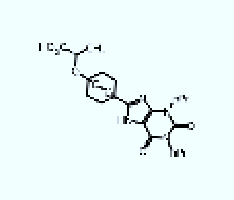 CCCn1c(=O)c2[nH]c(C34CCC(O[C@H](C)C(=O)O)(CC3)CC4)nc2n(CCC)c1=O